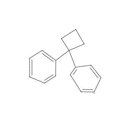 [c]1ccc(C2(c3ccccc3)CCC2)cc1